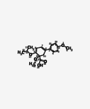 COc1ccc(C2=CC=C(OC(C)C)C(OC)(C(=O)O)C2)cc1